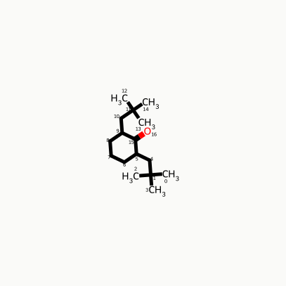 CC(C)(C)CC1CCCC(CC(C)(C)C)C1=O